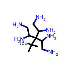 CC(C)(C)C(C)(C)C(C(N)CN)(C(N)CN)C(N)CN